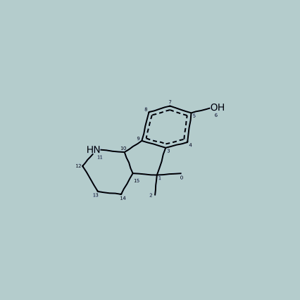 CC1(C)c2cc(O)ccc2C2NCCCC21